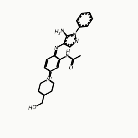 CC(=O)NC1=CC(=[N+]2CCC(CO)CC2)C=C/C1=N/c1cnn(-c2ccccc2)c1N